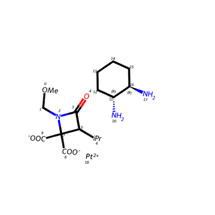 COCN1C(=O)C(C(C)C)C1(C(=O)[O-])C(=O)[O-].N[C@@H]1CCCC[C@H]1N.[Pt+2]